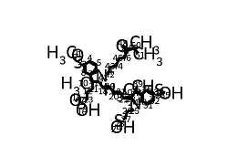 COSc1ccc2c(c1)C(C)(CCCS(=O)O)C(/C=C/C=C/C=C1/N(CCCSO)c3ccc(SO)cc3C1(C)C)=[N+]2CCCCCC(=O)C(C)C